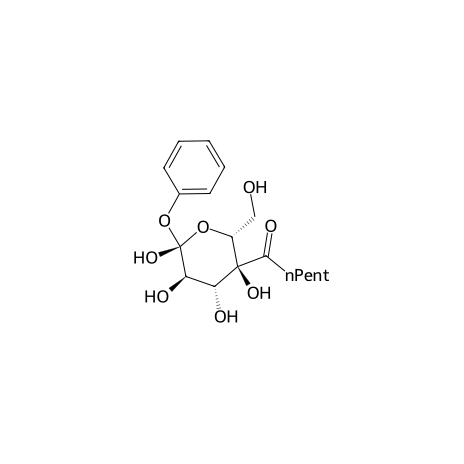 CCCCCC(=O)[C@]1(O)[C@H](O)[C@@H](O)[C@](O)(Oc2ccccc2)O[C@@H]1CO